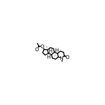 CC(=O)OC1CC[C@H]2[C@@H]3CCC4N(C)C(=O)CC[C@]4(C)[C@@H]3CC[C@]12C